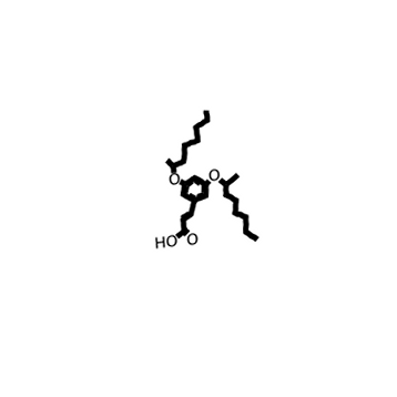 CCCCCCC(C)Oc1cc(C=CC(=O)O)cc(OC(C)CCCCCC)c1